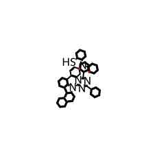 Sc1ccccc1N(c1ccccc1)C1C=CC(c2cccc3c4c5ccccc5ccc4n(-c4nc(-c5ccccc5)nc(-c5ccccc5)n4)c23)=CC1